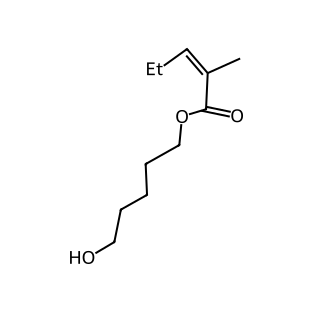 CCC=C(C)C(=O)OCCCCCO